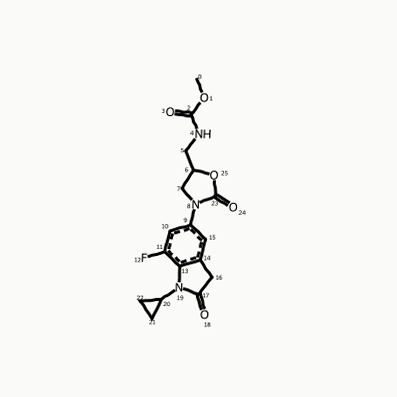 COC(=O)NCC1CN(c2cc(F)c3c(c2)CC(=O)N3C2CC2)C(=O)O1